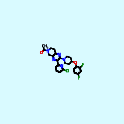 CC(=O)N1CCc2nc(N3CCC(Oc4ccc(F)cc4F)CC3)c(-c3cccc(Cl)n3)nc2C1